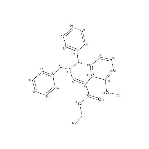 CCOC(=O)/C(=C/N(Cc1ccccc1)Cc1ccccc1)c1ccccc1OC